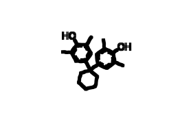 Cc1cc(C2(c3cc(C)c(O)c(C)c3)CCCCC2)cc(C)c1O